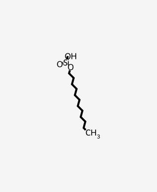 CCCCCCCCCCCCO[Si](=O)O